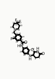 O=C1CCC(Nc2ccc(NC(=O)c3ccc(CN4CCC(F)(F)CC4)c(F)c3)cc2)C(=O)N1